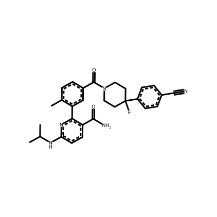 Cc1ccc(C(=O)N2CCC(F)(c3ccc(C#N)cc3)CC2)cc1-c1nc(NC(C)C)ccc1C(N)=O